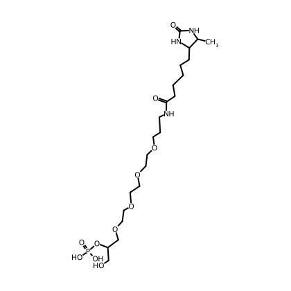 CC1NC(=O)NC1CCCCCC(=O)NCCCOCCOCCOCCOCC(CO)OP(=O)(O)O